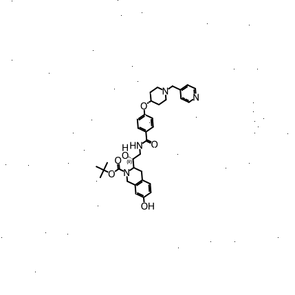 CC(C)(C)OC(=O)N1Cc2cc(O)ccc2CC1[C@H](O)CNC(=O)c1ccc(OC2CCN(Cc3ccncc3)CC2)cc1